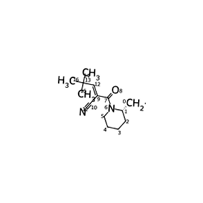 [CH2][C@@H]1CCCCN1C(=O)/C(C#N)=C/C(C)(C)C